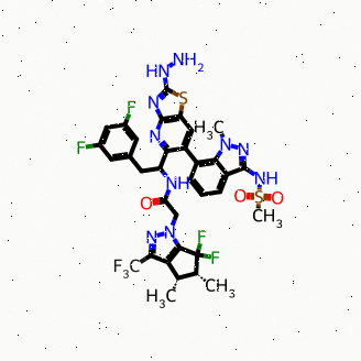 C[C@@H]1c2c(C(F)(F)F)nn(CC(=O)NC(Cc3cc(F)cc(F)c3)c3nc4nc(NN)sc4cc3-c3cccc4c(NS(C)(=O)=O)nn(C)c34)c2C(F)(F)[C@@H]1C